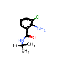 CCC(C)(C)NC(=O)c1cccc(Cl)c1N